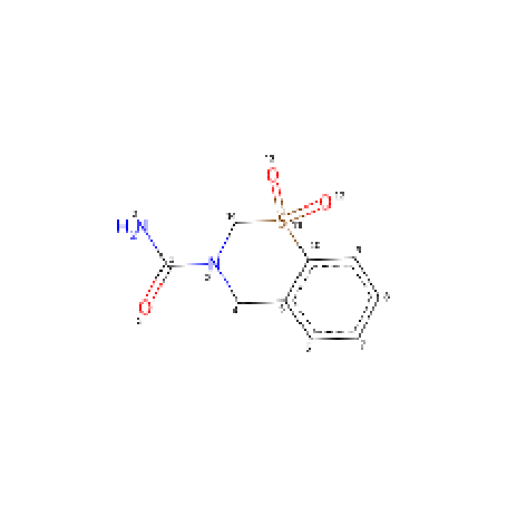 NC(=O)N1Cc2ccccc2S(=O)(=O)C1